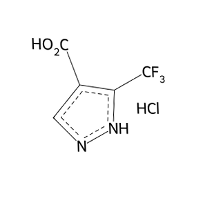 Cl.O=C(O)c1cn[nH]c1C(F)(F)F